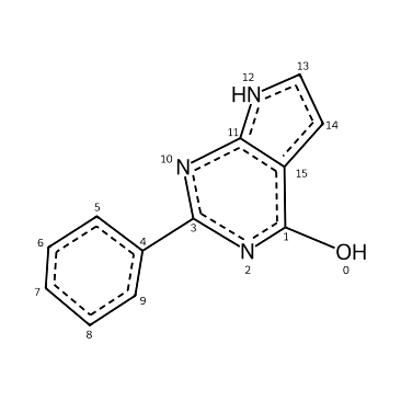 Oc1nc(-c2ccccc2)nc2[nH]ccc12